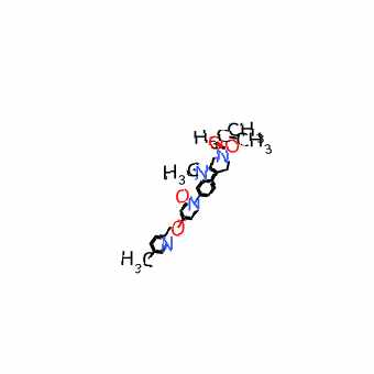 Cc1ccc(COc2ccn(-c3ccc4c5c(n(C)c4c3)CN(C(=O)OC(C)(C)C)CC5)c(=O)c2)nc1